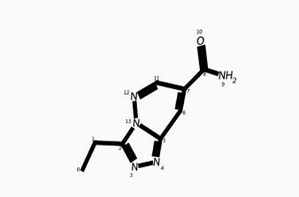 CCc1nnc2cc(C(N)=O)cnn12